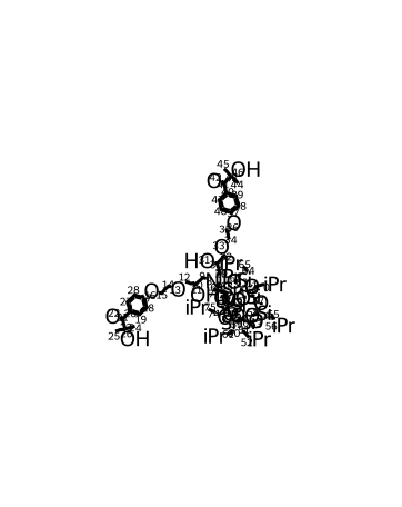 CC(C)C[Si]12O[Si]3(CCCN(CC(O)COCCOc4ccc(C(=O)C(C)(C)O)cc4)CC(O)COCCOc4ccc(C(=O)C(C)(C)O)cc4)O[Si]4(CC(C)C)O[Si](CC(C)C)(O1)O[Si]1(CC(C)C)O[Si](CC(C)C)(O2)O[Si](CC(C)C)(O3)O[Si](CC(C)C)(O4)O1